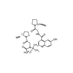 CC(C)(C)N(CC(=O)N1CCC[C@H]1C#N)C(=O)O.N#C[C@@H]1CCCN1C(=O)CNC(=O)c1ccnc2ccc(O)cc12